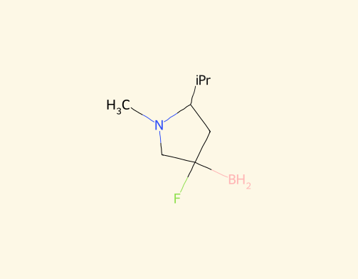 BC1(F)CC(C(C)C)N(C)C1